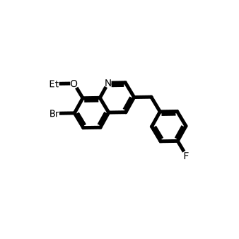 CCOc1c(Br)ccc2cc(Cc3ccc(F)cc3)cnc12